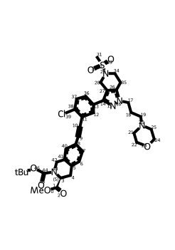 COC(=O)[C@@H]1Cc2ccc(C#Cc3cc(-c4nn(CCCN5CCOCC5)c5c4CN(S(C)(=O)=O)CC5)ccc3Cl)cc2CN1C(=O)OC(C)(C)C